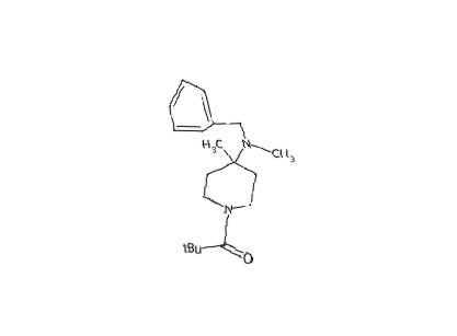 CN(Cc1ccccc1)C1(C)CCN(C(=O)C(C)(C)C)CC1